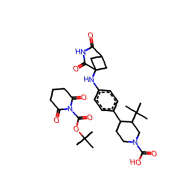 CC(C)(C)C1CN(C(=O)O)CCC1c1ccc(NC23CC(C2)C(=O)NC3=O)cc1.CC(C)(C)OC(=O)N1C(=O)CCCC1=O